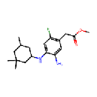 COC(=O)Cc1cc(N)c(NC2CC(C)CC(C)(C)C2)cc1F